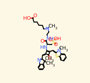 CN(CCCCCC(=O)O)CCNC(=O)C(CS(=O)(=O)O)NC1=C(/C=C2\Sc3ccccc3N2C)C(=O)/C1=C\C1=Nc2ccccc2C1(C)C